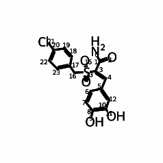 NC(=O)/C(=C/c1ccc(O)c(O)c1)S(=O)(=O)Cc1ccc(Cl)cc1